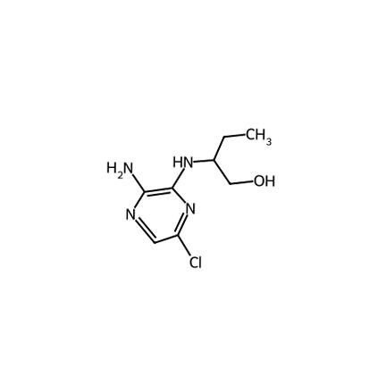 CCC(CO)Nc1nc(Cl)cnc1N